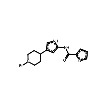 CCN1CCC(c2c[nH]c(NC(=O)c3ccco3)c2)CC1